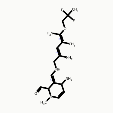 CC(/C=C(\N)CN/C=C1\C(N)C=CN(C)C1C=O)=C(/N)OCC(C)(F)F